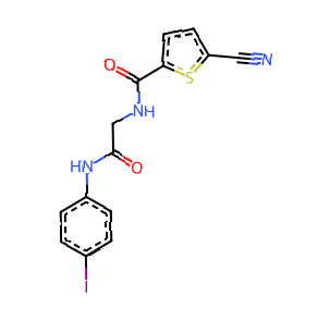 N#Cc1ccc(C(=O)NCC(=O)Nc2ccc(I)cc2)s1